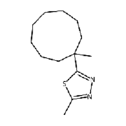 Cc1nnc(C2(C)CCCCCCCC2)s1